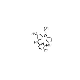 OCCOc1cccc(Nc2nc(Nc3cccc(O)c3)ncc2Cl)c1